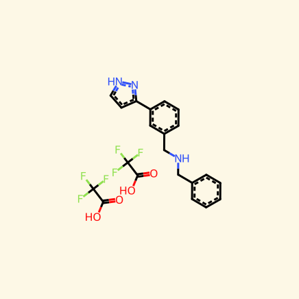 O=C(O)C(F)(F)F.O=C(O)C(F)(F)F.c1ccc(CNCc2cccc(-c3cc[nH]n3)c2)cc1